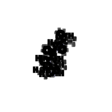 C=C1CCCO\C1=C(C)/C(C)=C1\CCCC\C1=C(\C)c1sc(/C(NC)=C2\CNCCN\C2=C/C(/C=C/C)C2/C(=C\C)BCC2C)c2c1CCCC2